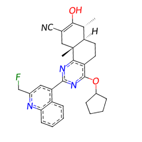 C[C@H]1C(O)=C(C#N)C[C@@]2(C)c3nc(-c4cc(CF)nc5ccccc45)nc(OC4CCCC4)c3CC[C@H]12